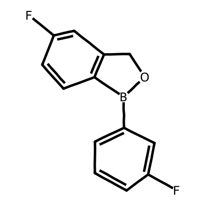 Fc1cccc(B2OCc3cc(F)ccc32)c1